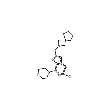 Clc1nc(N2CCOCC2)c2sc(CN3CC4(CCCC4)C3)cc2n1